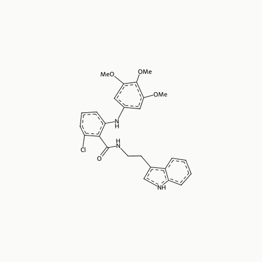 COc1cc(Nc2cccc(Cl)c2C(=O)NCCc2c[nH]c3ccccc23)cc(OC)c1OC